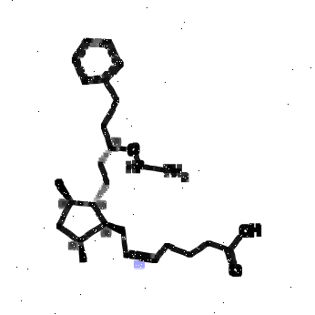 C[C@@H]1C[C@H](C)[C@H](C/C=C\CCCC(=O)O)[C@H]1CC[C@H](CCc1ccccc1)OPP